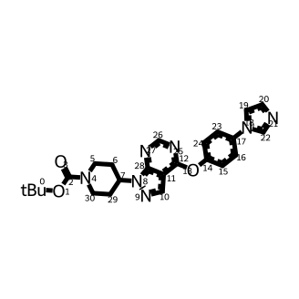 CC(C)(C)OC(=O)N1CCC(n2ncc3c(Oc4ccc(-n5ccnc5)cc4)ncnc32)CC1